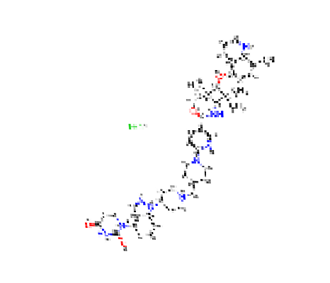 CC1(C)[C@H](NC(=O)c2ccc(N3CCC(CN4CCC(n5ncc6c(N7CCC(=O)NC7=O)cccc65)CC4)CC3)nc2)C(C)(C)[C@H]1Oc1ccc(C#N)c2ncccc12.Cl